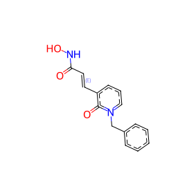 O=C(/C=C/c1cccn(Cc2ccccc2)c1=O)NO